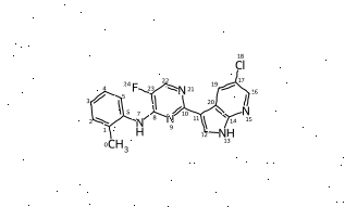 Cc1ccccc1Nc1nc(-c2c[nH]c3ncc(Cl)cc23)ncc1F